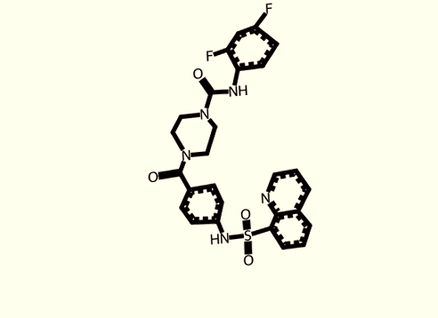 O=C(Nc1ccc(F)cc1F)N1CCN(C(=O)c2ccc(NS(=O)(=O)c3cccc4cccnc34)cc2)CC1